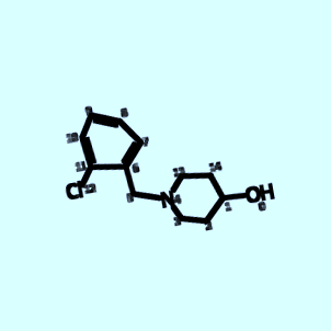 OC1CCN(Cc2ccccc2Cl)CC1